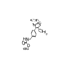 Cc1sc(C(F)(F)F)nc1-c1ccc(CNC(=O)OC(C)(C)C)cc1